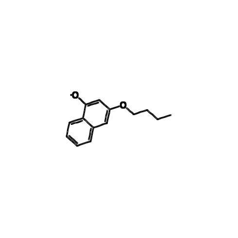 CCCCOc1cc([O])c2ccccc2c1